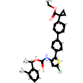 CCOC(=O)C1(c2ccc(-c3ccc(-c4sc(Cl)cc4NC(=O)OC(C)c4ccccc4C)cc3)cc2)CC1